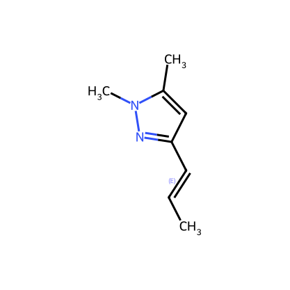 C/C=C/c1cc(C)n(C)n1